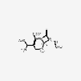 CC(=O)OC(N)C1=C(C(=O)[O-])N2C(=O)[C@H](NC=O)[C@H]2SC1.[Na+]